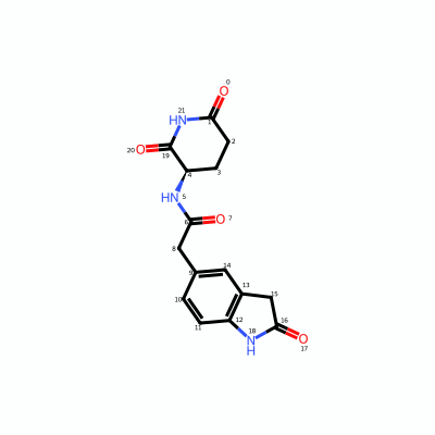 O=C1CC[C@@H](NC(=O)Cc2ccc3c(c2)CC(=O)N3)C(=O)N1